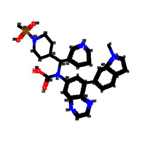 Cn1ccc2ccc(-c3cc(N(C(=O)O)C(c4cccnc4)C4CCN(S(C)(=O)=O)CC4)cc4nccnc34)cc21